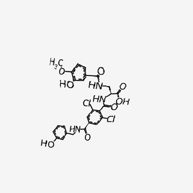 COc1ccc(C(=O)NC[C@H](NC(=O)c2c(Cl)cc(C(=O)NCc3cccc(O)c3)cc2Cl)C(=O)O)cc1O